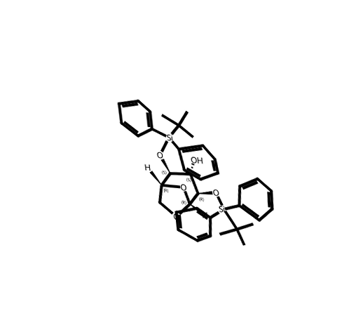 CC(C)(C)[Si](O[C@H]1[C@@H]2OC[C@@H](O2)[C@@H](O[Si](c2ccccc2)(c2ccccc2)C(C)(C)C)[C@@H]1O)(c1ccccc1)c1ccccc1